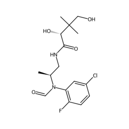 C[C@@H](CNC(=O)[C@H](O)C(C)(C)CO)N(C=O)c1cc(Cl)ccc1F